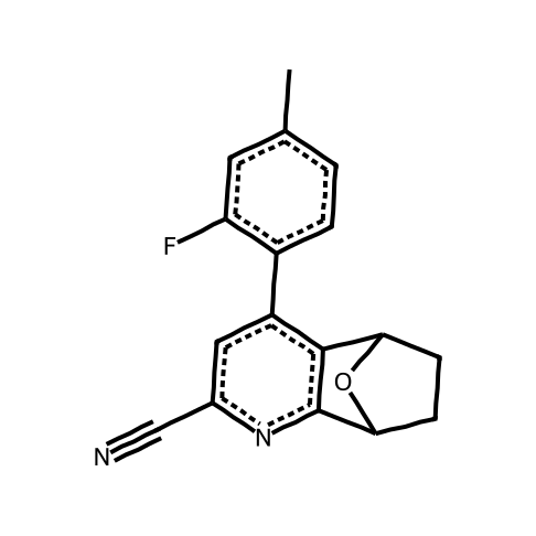 Cc1ccc(-c2cc(C#N)nc3c2C2CCC3O2)c(F)c1